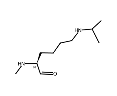 CN[C@H](C=O)CCCCNC(C)C